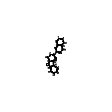 c1ccc2cc(-c3cnc4oc5cccnc5c4n3)ncc2c1